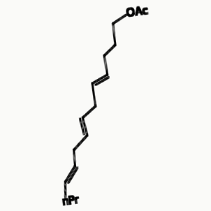 CCCC=CCC=CCC=CCCCOC(C)=O